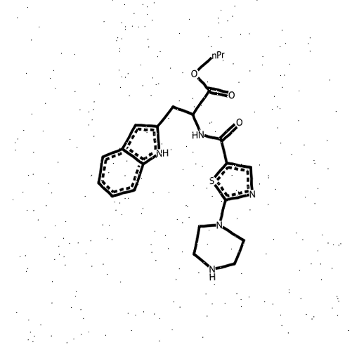 CCCOC(=O)C(Cc1cc2ccccc2[nH]1)NC(=O)c1cnc(N2CCNCC2)s1